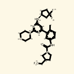 Cc1ccc(NC(=O)N2CCC(CC(F)(F)F)C2)cc1-c1cc(N[C@H]2CCC(F)(F)C2)nc(N2CCOCC2)n1